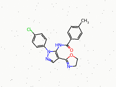 Cc1ccc(C(=O)Nc2c(C3=NCCO3)cnn2-c2ccc(Cl)cc2)cc1